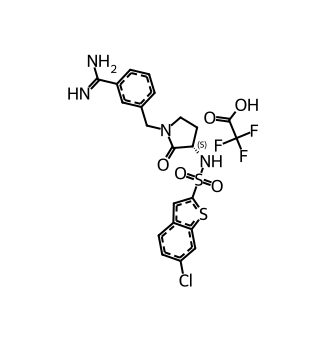 N=C(N)c1cccc(CN2CC[C@H](NS(=O)(=O)c3cc4ccc(Cl)cc4s3)C2=O)c1.O=C(O)C(F)(F)F